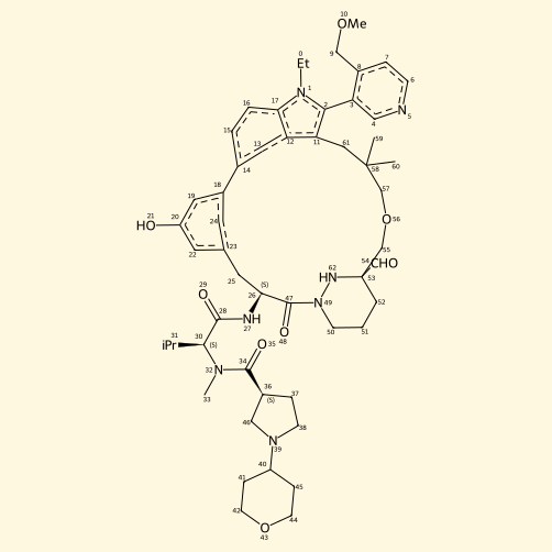 CCn1c(-c2cnccc2COC)c2c3cc(ccc31)-c1cc(O)cc(c1)C[C@H](NC(=O)[C@H](C(C)C)N(C)C(=O)[C@H]1CCN(C3CCOCC3)C1)C(=O)N1CCCC(C=O)(COCC(C)(C)C2)N1